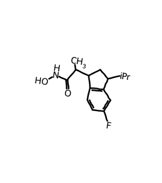 CC(C)C1CC(C(C)C(=O)NO)c2ccc(F)cc21